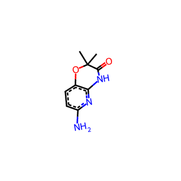 CC1(C)Oc2ccc(N)nc2NC1=O